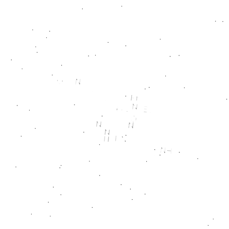 CCN(CC)C(=O)Oc1c(-c2ccc(CN3CCOCC3)cc2)n[nH]c1-c1nc2cc3c(cc2[nH]1)CNC3